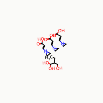 CCC(CO)C(O)O.O=C(O)C=CN1CC1.O=C(O)C=CN1CC1.O=C(O)C=CN1CC1